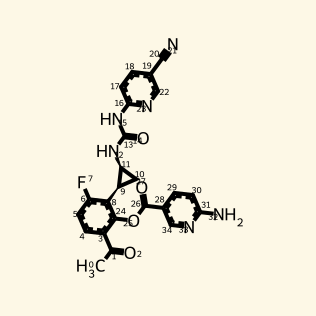 CC(=O)c1ccc(F)c([C@@H]2C[C@@H]2NC(=O)Nc2ccc(C#N)cn2)c1OC(=O)c1ccc(N)nc1